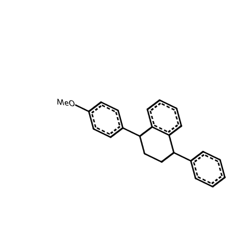 COc1ccc(C2CCC(c3ccccc3)c3ccccc32)cc1